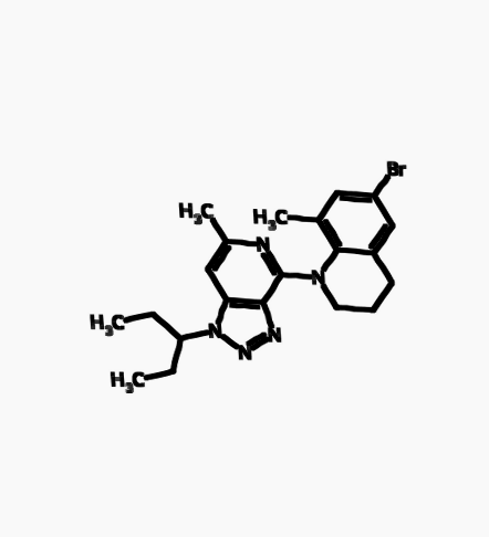 CCC(CC)n1nnc2c(N3CCCc4cc(Br)cc(C)c43)nc(C)cc21